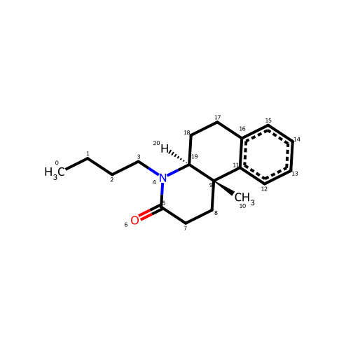 CCCCN1C(=O)CC[C@@]2(C)c3ccccc3CC[C@H]12